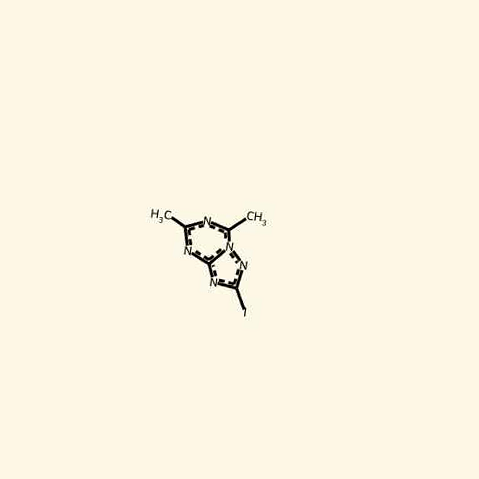 Cc1nc(C)n2nc(I)nc2n1